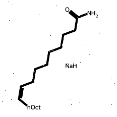 CCCCCCCC/C=C\CCCCCCCC(N)=O.[NaH]